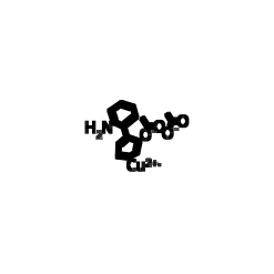 CC(=O)[O-].CC(=O)[O-].Nc1ccccc1-c1ccccc1.[Cu+2]